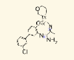 CC1=N/C[C@@H]([C@H]2CCCOC2)Oc2ccc(-c3cccc(Cl)c3)cc2/N=C\1N